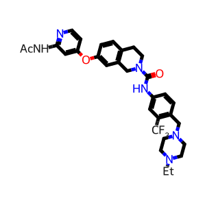 CCN1CCN(Cc2ccc(NC(=O)N3CCc4ccc(Oc5ccnc(NC(C)=O)c5)cc4C3)cc2C(F)(F)F)CC1